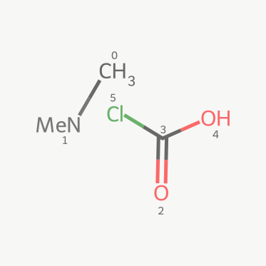 CNC.O=C(O)Cl